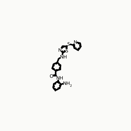 Nc1ccccc1NC(=O)c1ccc(CNc2ncc(Sc3ccccn3)s2)cc1